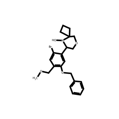 COCc1cc(Br)c(C2COCC3(CCC3)N2O)cc1OCc1ccccc1